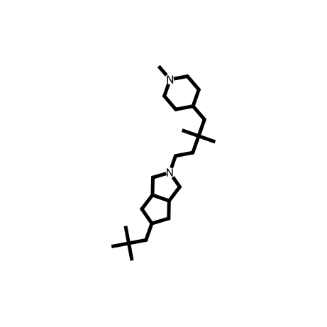 CN1CCC(CC(C)(C)CCN2CC3CC(CC(C)(C)C)CC3C2)CC1